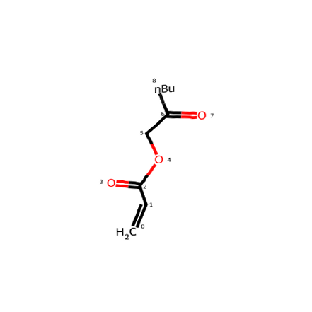 C=CC(=O)OCC(=O)CCCC